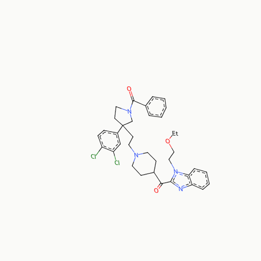 CCOCCn1c(C(=O)C2CCN(CCC3(c4ccc(Cl)c(Cl)c4)CCN(C(=O)c4ccccc4)C3)CC2)nc2ccccc21